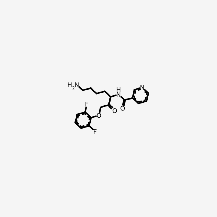 NCCCCC(NC(=O)c1cccnc1)C(=O)COc1c(F)cccc1F